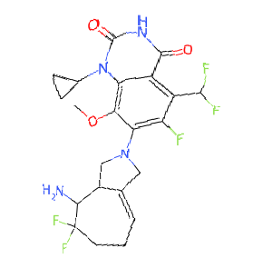 COc1c(N2CC3=CCCC(F)(F)C(N)C3C2)c(F)c(C(F)F)c2c(=O)[nH]c(=O)n(C3CC3)c12